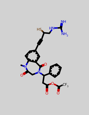 CN1C(=O)CN(C(CC(=O)OC(=O)C(F)(F)F)c2ccccc2)C(=O)c2cc(C#CC(S)CNC(=N)N)ccc21